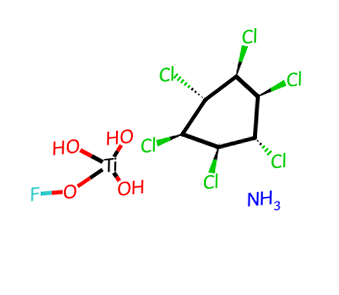 Cl[C@H]1[C@H](Cl)[C@@H](Cl)[C@@H](Cl)[C@H](Cl)[C@H]1Cl.N.[OH][Ti]([OH])([OH])[O]F